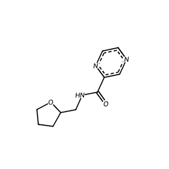 O=C(NCC1CCCO1)c1cnccn1